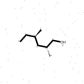 CC[C@@H](C)C[C@@H](C)CO